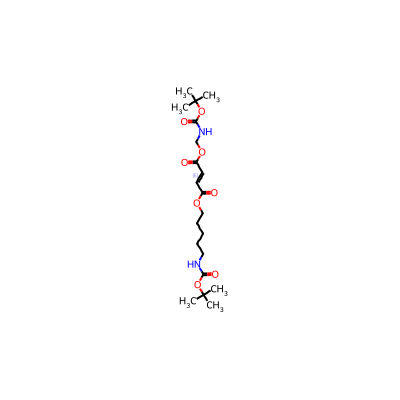 CC(C)(C)OC(=O)NCCCCCOC(=O)/C=C/C(=O)OCNC(=O)OC(C)(C)C